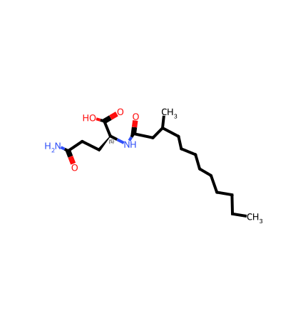 CCCCCCCCCC(C)CC(=O)N[C@@H](CCC(N)=O)C(=O)O